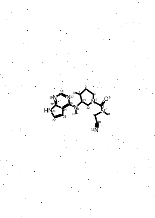 CC1CCN(C(=O)N(C)CC#N)CC1N(C)c1ncnc2[nH]ccc12